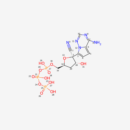 N#C[C@@]1(c2ccc3c(N)ncnn23)O[C@H](COP(=O)(O)OP(=O)(O)OP(=O)(O)O)C[C@H]1O